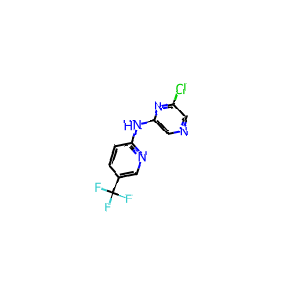 FC(F)(F)c1ccc(Nc2cncc(Cl)n2)nc1